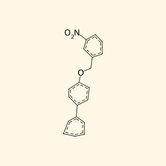 O=[N+]([O-])c1cccc(COc2ccc(-c3ccccc3)cc2)c1